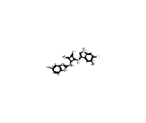 O=C1C(=O)C(Nc2c[nH]c3cc(F)c(F)cc23)C1Nc1nc2cc(F)ccc2s1